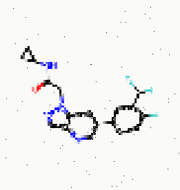 O=C(Cn1ncc2ncc(-c3ccc(F)c(C(F)F)c3)cc21)NC1CC1